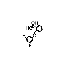 OB(O)c1ccccc1COc1cc(F)cc(F)c1